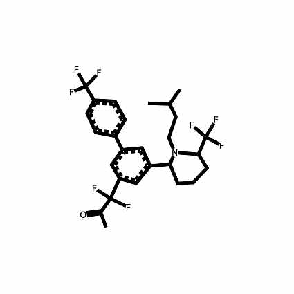 CC(=O)C(F)(F)c1cc(-c2ccc(C(F)(F)F)cc2)cc(C2CCCC(C(F)(F)F)N2CCC(C)C)c1